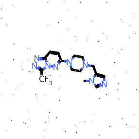 Cn1cncc1CN1CCN(c2ccc3nnc(C(F)(F)F)n3n2)CC1